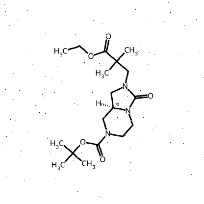 CCOC(=O)C(C)(C)CN1C[C@@H]2CN(C(=O)OC(C)(C)C)CCN2C1=O